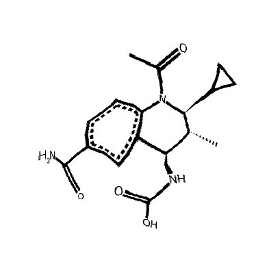 CC(=O)N1c2ccc(C(N)=O)cc2[C@H](NC(=O)O)[C@@H](C)[C@@H]1C1CC1